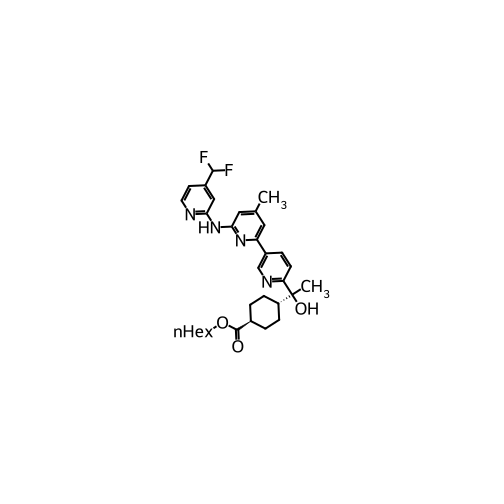 CCCCCCOC(=O)[C@H]1CC[C@H](C(C)(O)c2ccc(-c3cc(C)cc(Nc4cc(C(F)F)ccn4)n3)cn2)CC1